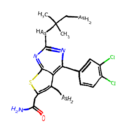 CC(C)(C[AsH2])[AsH]c1nc(-c2ccc(Cl)c(Cl)c2)c2c([AsH2])c(C(N)=O)sc2n1